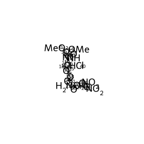 COc1cc(OC)c2c(=O)[nH]c(-c3cc(C)c(OCCOC(=O)CC(N)C(=O)OCC(CO[N+](=O)[O-])O[N+](=O)[O-])c(C)c3)nc2c1.Cl